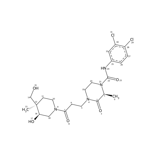 C[C@H]1C(=O)N(CCC(=O)N2CC[C@](C)(CO)[C@H](O)C2)CCN1C(=O)Nc1ccc(Cl)c(Cl)c1